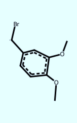 COc1ccc([CH]Br)cc1OC